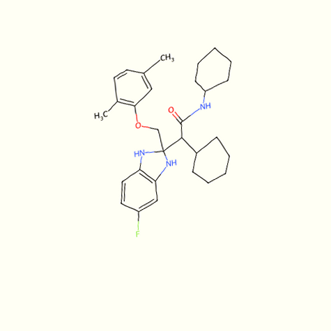 Cc1ccc(C)c(OCC2(C(C(=O)NC3CCCCC3)C3CCCCC3)Nc3ccc(F)cc3N2)c1